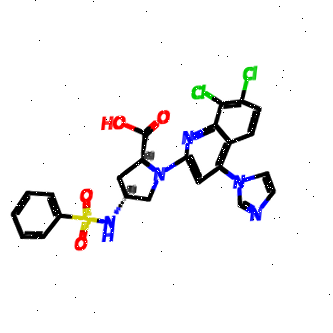 O=C(O)[C@@H]1C[C@@H](NS(=O)(=O)c2ccccc2)CN1c1cc(-n2ccnc2)c2ccc(Cl)c(Cl)c2n1